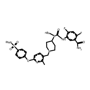 CCCCN(C(=O)Nc1cc(C(N)=O)c(F)cc1F)C1CCN(Cc2ccc(Oc3ccc(S(=O)(=O)NC)cc3)nc2C)CC1